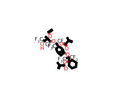 C=COC(C)(COC(C(F)(F)F)(C(F)(F)F)C1(OC(=O)C(=C)C)CC2CC(OC(C(F)(F)F)(C(F)(F)F)C3(OC(=O)C(=C)C)CCCCC3)C1C2)C(O)(C(F)(F)F)C(F)(F)F